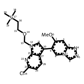 COc1cc2nncn2cc1-c1cn(COCC[Si](C)(C)C)c2nc(Cl)ccc12